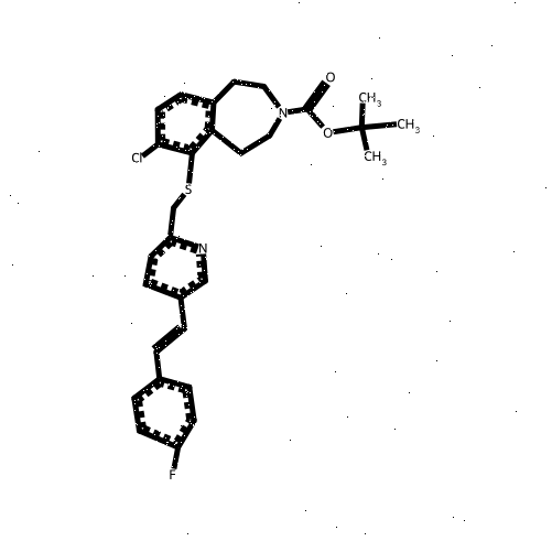 CC(C)(C)OC(=O)N1CCc2ccc(Cl)c(SCc3ccc(C=Cc4ccc(F)cc4)cn3)c2CC1